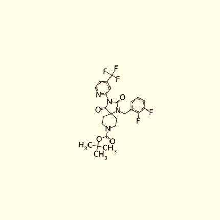 CC(C)(C)OC(=O)N1CCC2(CC1)C(=O)N(c1cc(C(F)(F)F)ccn1)C(=O)N2Cc1cccc(F)c1F